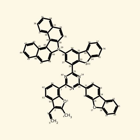 C=Cc1c(C)oc2c(-c3nc(-c4ccc5c(c4)oc4ccccc45)nc(-c4cc(-n5c6ccc7ccccc7c6c6c7ccccc7ccc65)cc5c4sc4ccccc45)n3)cccc12